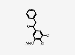 COc1cc(C(=O)Cc2ccccc2)cc(Cl)c1Cl